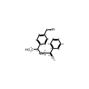 CC(C)Cc1ccc(C(C)C(=O)O)cc1.CNC(=O)c1ccccc1